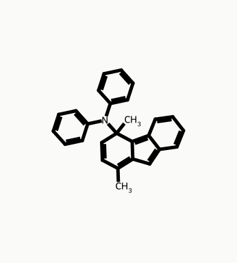 CC1=C2C=c3ccccc3=C2C(C)(N(c2ccccc2)c2ccccc2)C=C1